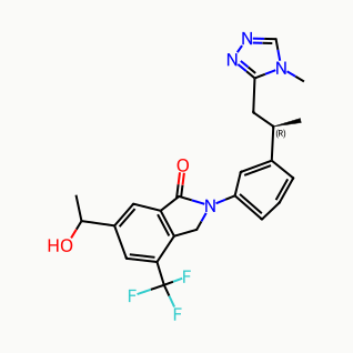 CC(O)c1cc2c(c(C(F)(F)F)c1)CN(c1cccc([C@H](C)Cc3nncn3C)c1)C2=O